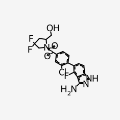 Nc1n[nH]c2ccc(-c3ccc(S(=O)(=O)N4CC(F)(F)CC4CO)cc3Cl)c(F)c12